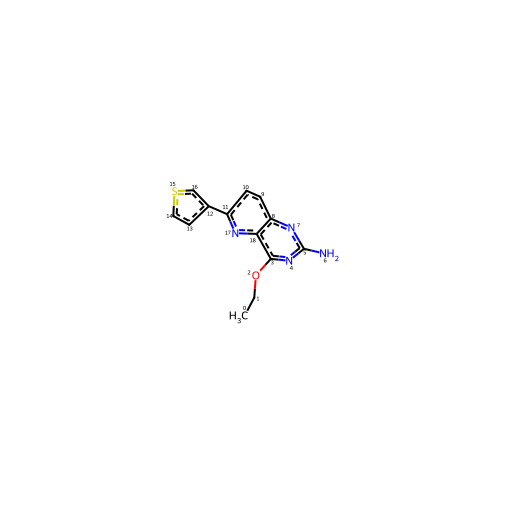 CCOc1nc(N)nc2ccc(-c3ccsc3)nc12